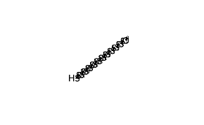 COSSSSSSSSSSSSSSSSSSSSSS